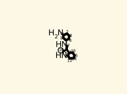 Nc1cccc(NC=C2C(=O)Nc3ccccc32)c1